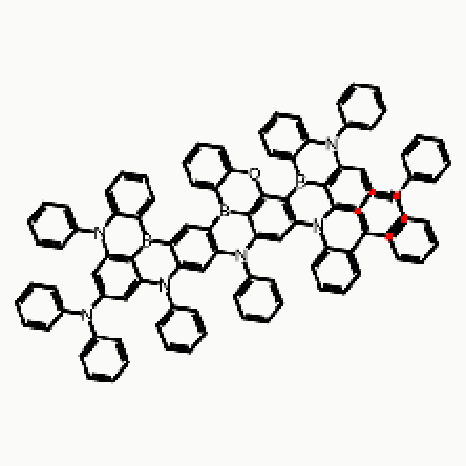 c1ccc(-c2ccccc2N2c3cc(N(c4ccccc4)c4ccccc4)cc4c3B(c3ccccc3N4c3ccccc3)c3c2cc2c4c3Oc3ccccc3B4c3cc4c(cc3N2c2ccccc2)N(c2ccccc2)c2cc(N(c3ccccc3)c3ccccc3)cc3c2B4c2ccccc2N3c2ccccc2)cc1